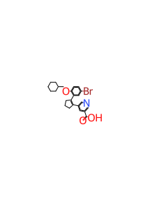 O=C(O)c1cncc(C2=C(c3cc(Br)ccc3OCC3CCCCC3)CCC2)c1